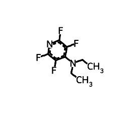 CCN(CC)c1c(F)c(F)nc(F)c1F